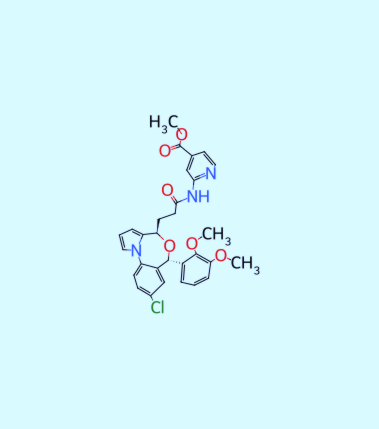 COC(=O)c1ccnc(NC(=O)CC[C@H]2O[C@H](c3cccc(OC)c3OC)c3cc(Cl)ccc3-n3cccc32)c1